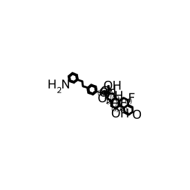 C[C@]12C=CC(=O)C=C1[C@@H](F)C[C@H]1[C@@H]3C[C@H]4O[C@H](c5ccc(CCc6cccc(N)c6)cc5)O[C@@]4(C(=O)CO)[C@@]3(C)C[C@H](O)[C@@]12F